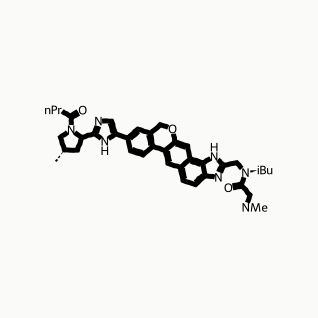 CCCC(=O)N1C[C@@H](C)CC1c1ncc(-c2ccc3c(c2)COc2cc4c(ccc5nc(CN(C(=O)CNC)[C@@H](C)CC)[nH]c54)cc2-3)[nH]1